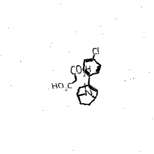 Clc1ccc(C2=CC3CCC(C2)N3)cc1.O=C(O)CC(=O)O